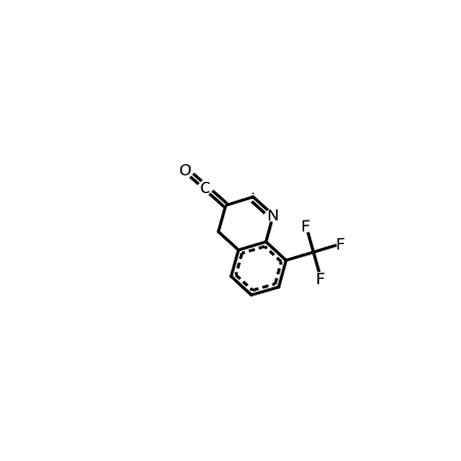 O=C=C1[C]=Nc2c(cccc2C(F)(F)F)C1